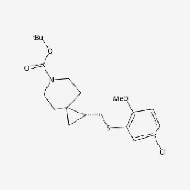 COc1ccc(Cl)cc1SC[C@@H]1CC12CCN(C(=O)OC(C)(C)C)CC2